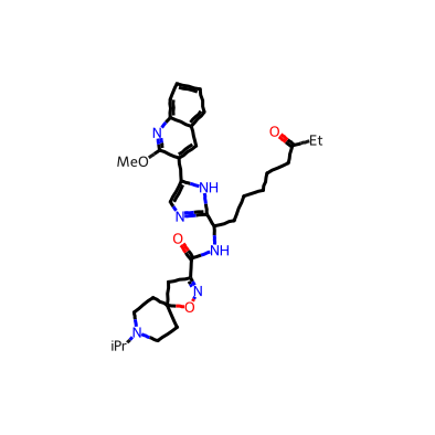 CCC(=O)CCCCCC(NC(=O)C1=NOC2(CCN(C(C)C)CC2)C1)c1ncc(-c2cc3ccccc3nc2OC)[nH]1